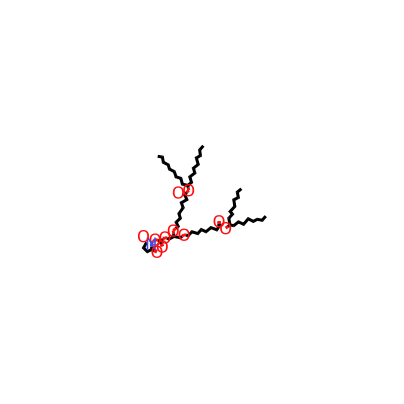 CCCCCCCCCC(CCCCCCCCC)OC(=O)CCCCCCCOC(COCCCCCCCC(=O)OC(CCCCCCCC)CCCCCCCC)COC(=O)ON1C(=O)CCC1=O